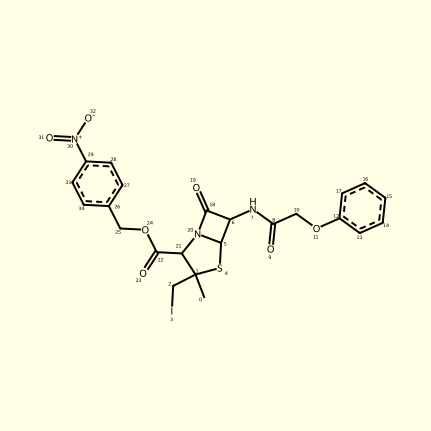 CC1(CI)SC2C(NC(=O)COc3ccccc3)C(=O)N2C1C(=O)OCc1ccc([N+](=O)[O-])cc1